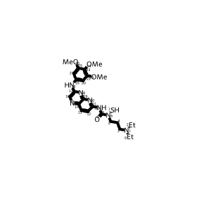 CCN(CC)CCCN(S)C(=O)Nc1ccc2ncc(Nc3cc(OC)c(OC)c(OC)c3)nc2n1